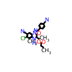 CCCC(=O)O[C@@H](C)[C@@H](Nc1ccc(C#N)c(Cl)c1C)c1nnc(-c2ccc(C#N)cc2)o1